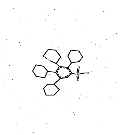 O=S(=O)(O)c1cc(C2CCCCC2)c(C2CCCCC2)c(C2CCCCC2)c1C1CCCCC1